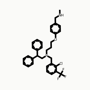 CNCc1ccc(OCCCN(Cc2cccc(C(F)(F)F)c2Cl)CC(c2ccccc2)c2ccccc2)cc1